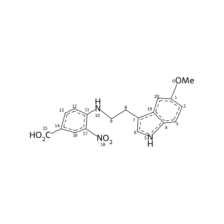 COc1ccc2[nH]cc(CCNc3ccc(C(=O)O)cc3[N+](=O)[O-])c2c1